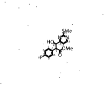 COC(=O)C(c1ccc(F)cc1)C(O)c1ccnc(SC)n1